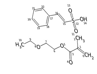 C=C(C)C(=O)OCCOCC.O=S(=O)(O)C=Cc1ccccc1